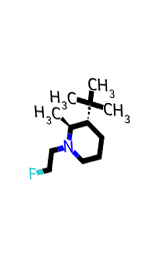 C[C@H]1[C@H](C(C)(C)C)CCCN1CCF